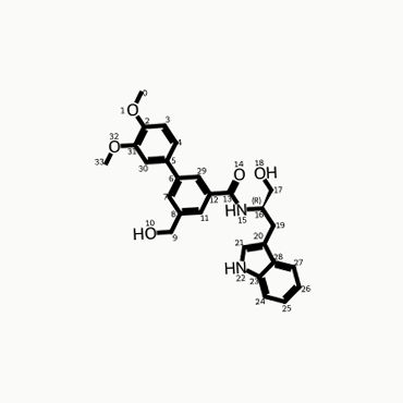 COc1ccc(-c2cc(CO)cc(C(=O)N[C@@H](CO)Cc3c[nH]c4ccccc34)c2)cc1OC